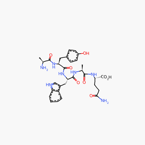 C[C@H](N)C(=O)N[C@@H](Cc1ccc(O)cc1)C(=O)N[C@@H](Cc1c[nH]c2ccccc12)C(=O)N[C@@H](C)C(=O)N[C@@H](CCC(N)=O)C(=O)O